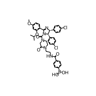 COc1ccc(C2=N[C@@H](c3ccc(Cl)cc3)[C@@H](c3ccc(Cl)cc3)N2C(=O)N2CCN(CCNC(=O)c3ccc(B(O)O)cc3)C(=O)C2)c(OC(C)C)c1